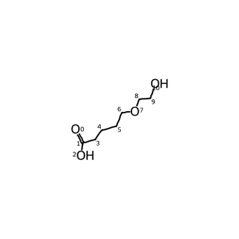 O=C(O)CCCCOCCO